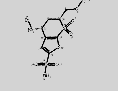 CCN[C@@H]1C[C@@H](CO[N+](=O)[O-])S(=O)(=O)c2sc(S(N)(=O)=O)cc21